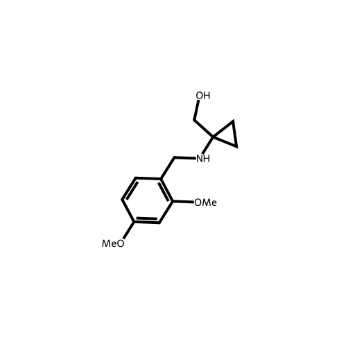 COc1ccc(CNC2(CO)CC2)c(OC)c1